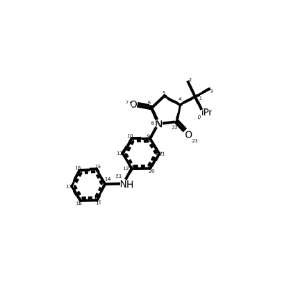 CC(C)C(C)(C)C1CC(=O)N(c2ccc(Nc3ccccc3)cc2)C1=O